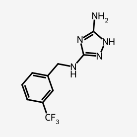 Nc1nc(NCc2cccc(C(F)(F)F)c2)n[nH]1